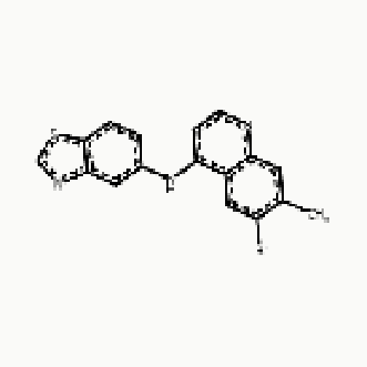 Cc1cc2nccc(Nc3ccc4scnc4c3)c2cc1Br